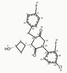 O=C1C([C@H]2C[C@@H](O)C2)N(Cc2ccc(F)cc2)C(=O)CN1c1ncc(Cl)cc1F